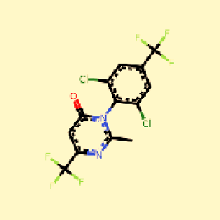 Cc1nc(C(F)(F)F)cc(=O)n1-c1c(Cl)cc(C(F)(F)F)cc1Cl